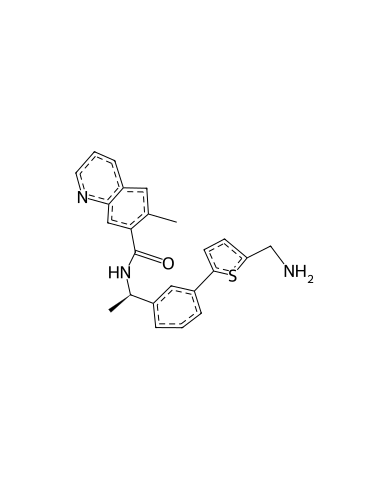 Cc1cc2cccnc2cc1C(=O)N[C@H](C)c1cccc(-c2ccc(CN)s2)c1